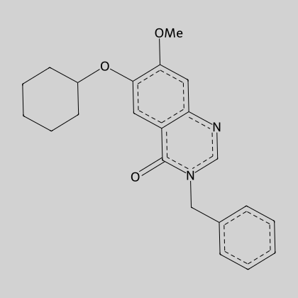 COc1cc2ncn(Cc3ccccc3)c(=O)c2cc1OC1CCCCC1